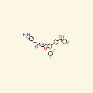 Nc1ccc(/C=C/C(=O)NCc2cc3cc(-c4ccc(C(O)N5CCC(F)(F)CC5)cc4)cc(-c4ccc(F)cc4F)c3o2)cn1